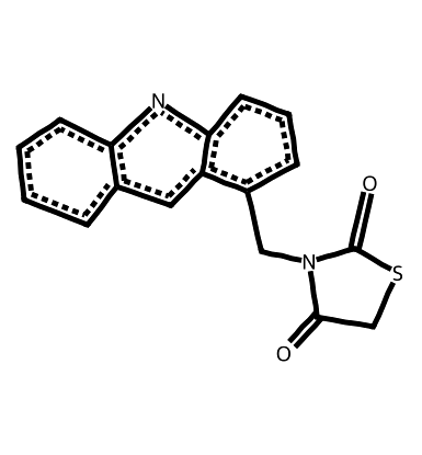 O=C1CSC(=O)N1Cc1cccc2nc3ccccc3cc12